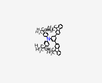 CC(C)(C)c1ccc(N(c2ccc(C(C)(C)C)cc2)c2cc(-c3ccc4c(c3)C(C)(C)c3ccccc3-4)cc(-c3ccc4c(c3)C(C)(C)c3ccccc3-4)c2)cc1